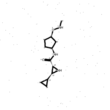 CNO[C@@H]1CC[C@H](NC(=O)[C@@H]2N[C@H]2C2CC2)C1